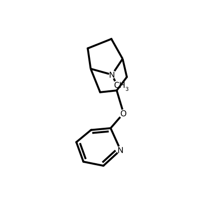 CN1C2CCC1CC(Oc1ccccn1)C2